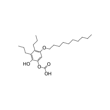 CCCCCCCCCCOc1cc(OC(=O)O)c(O)c(CCC)c1CCC